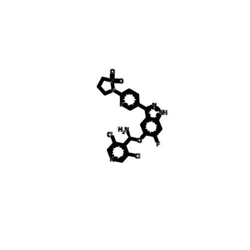 N[C@@H](Oc1cc2c(-c3ccc(N4CCCS4(=O)=O)nc3)n[nH]c2cc1F)c1c(Cl)cncc1Cl